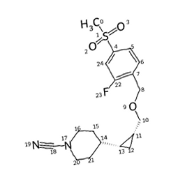 CS(=O)(=O)c1ccc(COC[C@@H]2C[C@@H]2C2CCN(C#N)CC2)c(F)c1